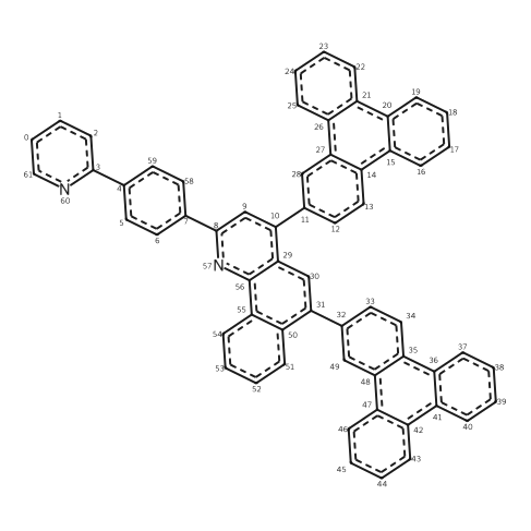 c1ccc(-c2ccc(-c3cc(-c4ccc5c6ccccc6c6ccccc6c5c4)c4cc(-c5ccc6c7ccccc7c7ccccc7c6c5)c5ccccc5c4n3)cc2)nc1